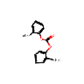 CCCCCCCCCc1ccccc1OC(=O)Oc1ccccc1CCCCCCCCC